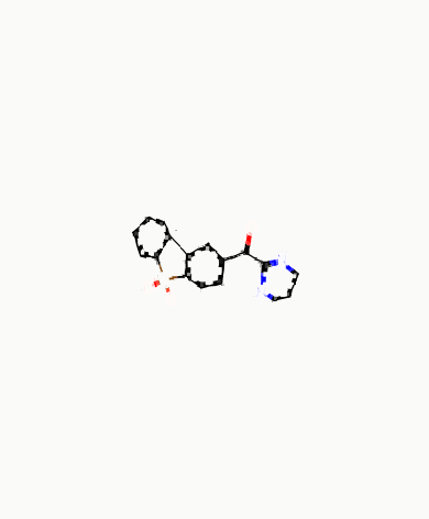 O=C(c1ccc2c(c1)-c1ccccc1S2(=O)=O)c1ncccn1